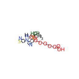 CC(C)(C)S(=O)(=O)c1cc2c(Nc3ccc4scnc4c3)ccnc2cc1OCCOCCOCCOCCOCC(=O)O.Cl